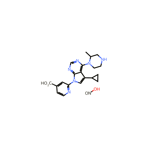 CC1CNCCN1c1ncnc2c1c(C1CC1)cn2-c1cc(C(=O)O)ccn1.O=NO